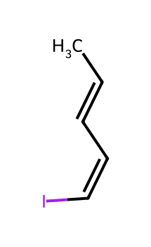 C/C=C/C=C\I